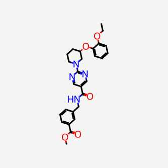 CCOc1ccccc1O[C@@H]1CCCN(c2ncc(C(=O)NCc3cccc(C(=O)OC)c3)cn2)C1